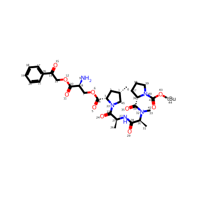 C[C@H]1C[C@@H](C(=O)OC[C@H](N)C(=O)OCC(=O)c2ccccc2)N(C(=O)[C@H](C)NC(=O)[C@H](C)N(C)C(=O)[C@@H]2CCCN2C(=O)OC(C)(C)C)C1